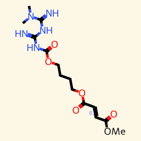 COC(=O)/C=C/C(=O)OCCCCOC(=O)NC(=N)NC(=N)N(C)C